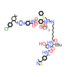 Cc1ncsc1-c1ccc([C@H](C)NC(=O)[C@@H]2C[C@@H](O)CN2C(=O)[C@@H](NC(=O)CCCCCCCCN(C)CC[C@H](CSc2ccccc2)Nc2ccc(S(=O)(=O)NC(=O)c3ccc(N4CCN(CC5=C(c6ccc(Cl)cc6)CCC(C)(C)C5)CC4)cc3)cc2S(=O)(=O)C(F)(F)F)C(C)(C)C)cc1